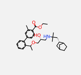 CCOC(=O)c1ccc(-c2ccccc2C(C)OC[C@H](O)CNC(C)(C)C[C@H]2CC3CCC2C3)cc1C